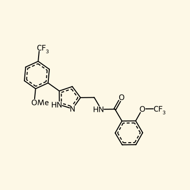 COc1ccc(C(F)(F)F)cc1-c1cc(CNC(=O)c2ccccc2OC(F)(F)F)n[nH]1